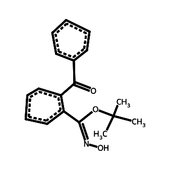 CC(C)(C)OC(=NO)c1ccccc1C(=O)c1ccccc1